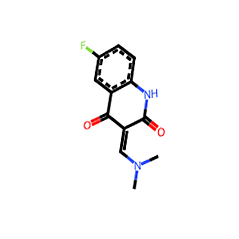 CN(C)/C=C1\C(=O)Nc2ccc(F)cc2C1=O